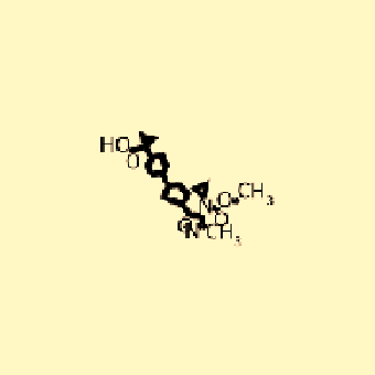 CCOC(=O)N(c1c(C)noc1-c1ccc(-c2ccc(C3(C(=O)O)C=C3)cc2)cc1)C1CC1